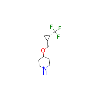 FC(F)(F)[C@H]1C[C@@H]1COC1CCNCC1